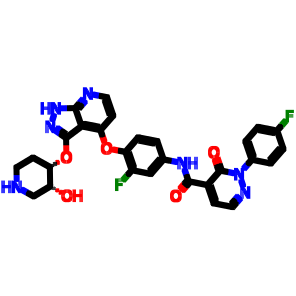 O=C(Nc1ccc(Oc2ccnc3[nH]nc(O[C@H]4CCNC[C@H]4O)c23)c(F)c1)c1ccnn(-c2ccc(F)cc2)c1=O